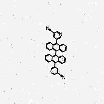 N#Cc1cncc(-c2c3ccccc3c(-c3c4ccccc4c(-c4cncc(C#N)c4)c4ccccc34)c3ccccc23)c1